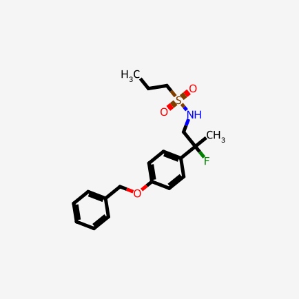 CCCS(=O)(=O)NCC(C)(F)c1ccc(OCc2ccccc2)cc1